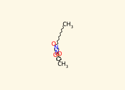 CCCCCCCCCCCC(=O)N1CCN(S(=O)(=O)c2ccc(C)cc2)CC1